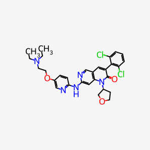 CCN(CC)CCOc1ccc(Nc2cc3c(cn2)cc(-c2c(Cl)cccc2Cl)c(=O)n3[C@H]2CCOC2)nc1